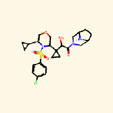 O=C(C(O)C1(C2COCC(C3CC3)N2S(=O)(=O)c2ccc(Cl)cc2)CC1)N1CC2CCC(C1)N2